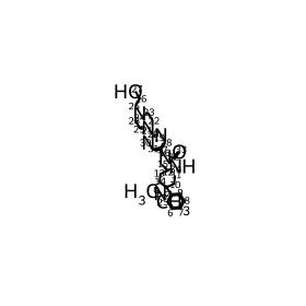 CN(C)[C@]1(c2ccccc2)CC[C@]2(CC1)CN(c1cnc(N3CCN(CCO)CC3)nc1)C(=O)N2